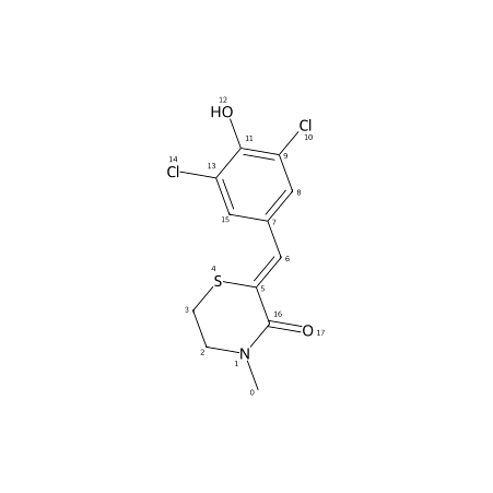 CN1CCSC(=Cc2cc(Cl)c(O)c(Cl)c2)C1=O